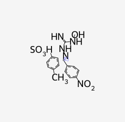 Cc1ccc(S(=O)(=O)O)cc1.N=C(NO)N/N=C/c1ccc([N+](=O)[O-])cc1